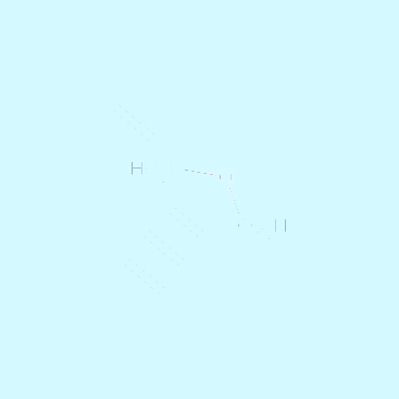 C=C.C=C.C=C.C=C.O=C(O)OC(=O)O